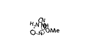 COC(=O)C1(CNc2ncccc2N)CCN(Cc2ccccc2)C1